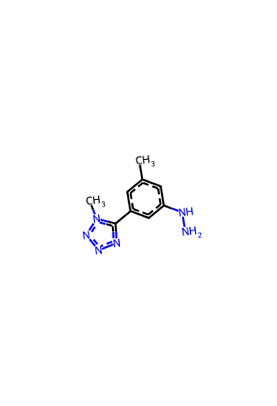 Cc1cc(NN)cc(-c2nnnn2C)c1